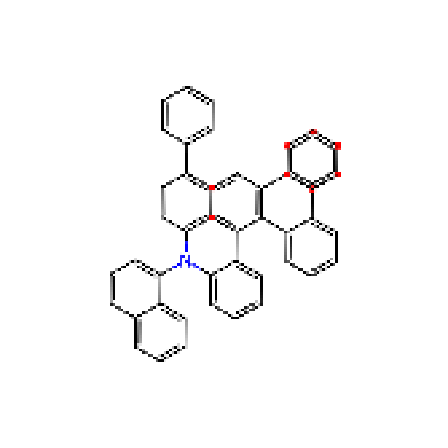 c1ccc(-c2ccc(N(c3ccccc3-c3cccc(-c4ccccc4)c3-c3ccccc3-c3ccccc3)c3cccc4ccccc34)cc2)cc1